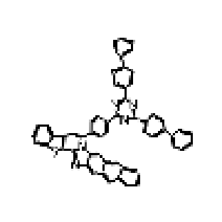 c1ccc(-c2ccc(-c3nc(-c4ccc(-c5ccccc5)cc4)nc(-c4ccc(-c5cc6c7ccccc7sc6c6nc7cc8cc9ccccc9cc8cc7n56)cc4)n3)cc2)cc1